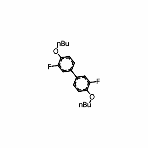 CCCCOc1ccc(-c2ccc(OCCCC)c(F)c2)cc1F